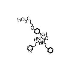 O=C(O)CCCOc1ccc(NC(NC(=O)CCc2cccnc2)C(=O)NCCc2ccccc2)cc1